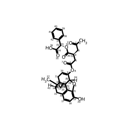 CC(=O)C[C@@H](CC(=O)OC1=CC[C@@]2(O)[C@H]3Cc4ccc(O)c5c4[C@@]2(CCN3C)[C@H]1O5)C(=O)O[C@H](C(=O)O)c1ccccc1